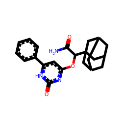 NC(=O)C(Oc1cc(-c2ccccc2)[nH]c(=O)n1)C12CC3CC(CC(C3)C1)C2